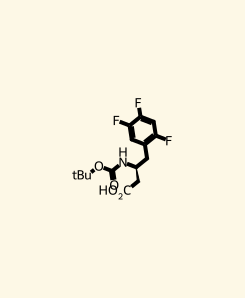 CC(C)(C)OC(=O)N[C@H](CC(=O)O)Cc1cc(F)c(F)cc1F